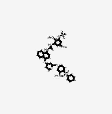 COc1cc(Nc2cc(Oc3ccc(NC(=O)Nc4cc(C(C)(C)C)cc(NS(C)(=O)=O)c4OC)c4ccccc34)ccn2)ccc1P(=O)(O)c1ccccc1